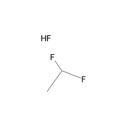 CC(F)F.F